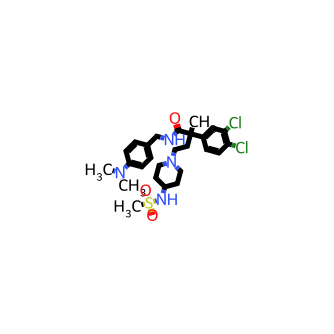 CN(C)c1ccc(CNC(=O)C(C)(CCN2CCC(NS(C)(=O)=O)CC2)c2ccc(Cl)c(Cl)c2)cc1